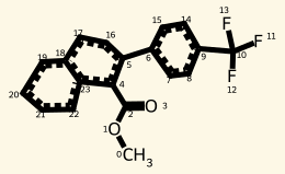 COC(=O)c1c(-c2ccc(C(F)(F)F)cc2)ccc2ccccc12